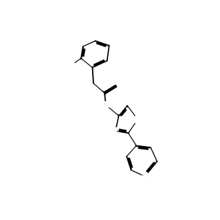 Bc1ccccc1CC(=O)Nc1csc(-c2ccncc2)n1